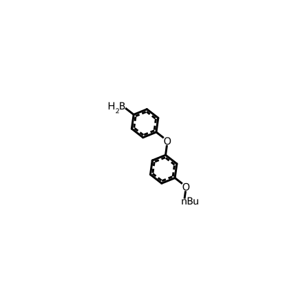 Bc1ccc(Oc2cccc(OCCCC)c2)cc1